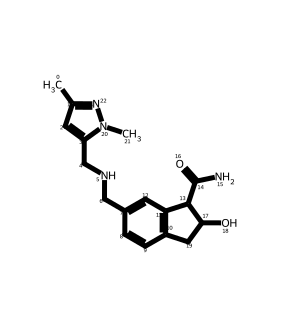 Cc1cc(CNCc2ccc3c(c2)C(C(N)=O)C(O)C3)n(C)n1